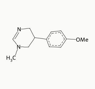 COc1ccc(C2CN=CN(C)C2)cc1